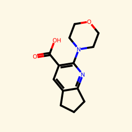 O=C(O)c1cc2c(nc1N1CCOCC1)CCC2